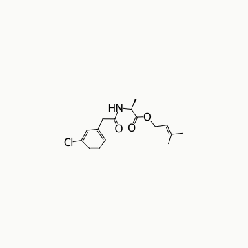 CC(C)=CCOC(=O)[C@H](C)NC(=O)Cc1cccc(Cl)c1